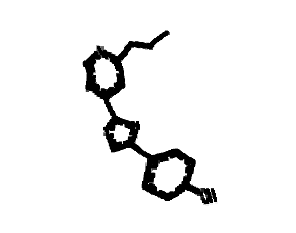 CCCc1cc(-c2nc(-c3ccc(O)cc3)cs2)ccn1